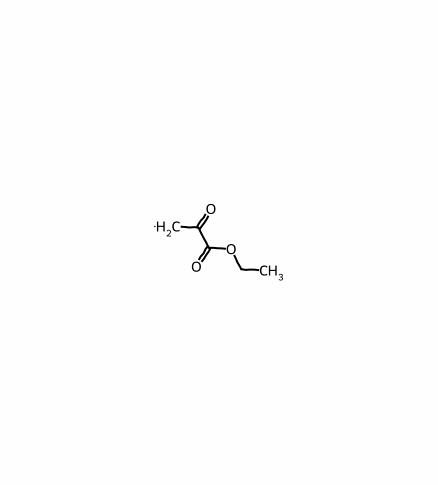 [CH2]C(=O)C(=O)OCC